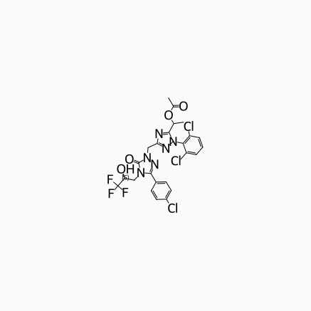 CC(=O)OC(C)c1nc(Cn2nc(-c3ccc(Cl)cc3)n(C[C@H](O)C(F)(F)F)c2=O)nn1-c1c(Cl)cccc1Cl